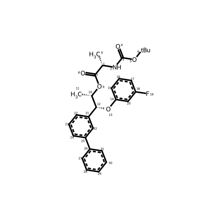 C[C@H](NC(=O)OC(C)(C)C)C(=O)O[C@@H](C)[C@H](Oc1cccc(F)c1)c1cccc(-c2ccccc2)c1